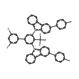 Cc1ccc(-c2ccc3c(c2)c2ccccc2n3-c2cc(-c3cc(F)cc(F)c3)cc(-n3c4ccccc4c4cc(-c5ccc(C)cc5)ccc43)c2C(F)(F)F)cc1